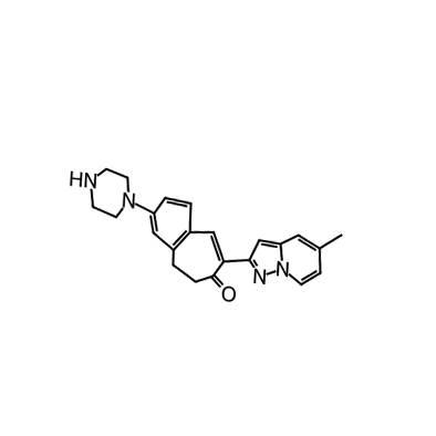 Cc1ccn2nc(C3=Cc4ccc(N5CCNCC5)cc4CCC3=O)cc2c1